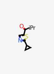 CC(C)C(=O)c1cnc(C2CC2)s1